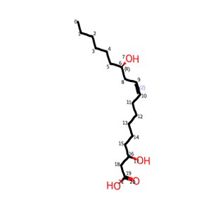 CCCCCC[C@@H](O)C/C=C\CCCCCC(O)CC(=O)O